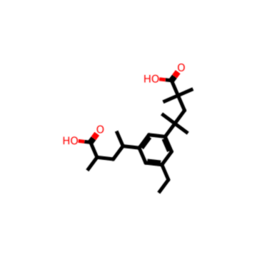 CCc1cc(C(C)CC(C)C(=O)O)cc(C(C)(C)CC(C)(C)C(=O)O)c1